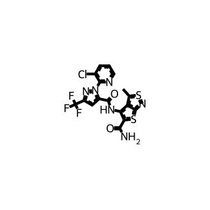 Cc1snc2sc(C(N)=O)c(NC(=O)c3cc(C(F)(F)F)nn3-c3ncccc3Cl)c12